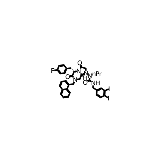 CCCN(C(=O)NCc1ccc(I)c(I)c1)N1CC(=O)N2[C@@H](Cc3ccc(F)cc3)C(=O)N(Cc3cccc4ccccc34)C[C@@H]21